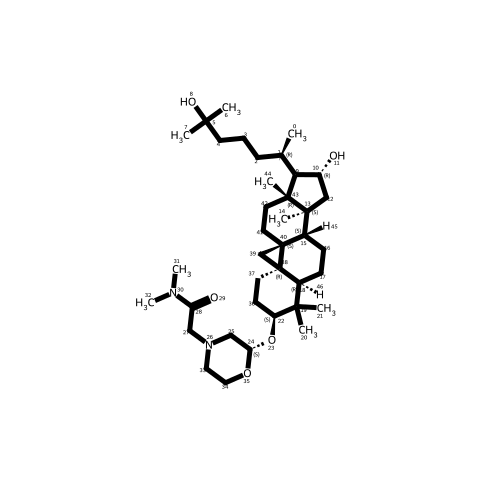 C[C@H](CCCC(C)(C)O)C1[C@H](O)C[C@@]2(C)[C@@H]3CC[C@H]4C(C)(C)[C@@H](O[C@H]5CN(CC(=O)N(C)C)CCO5)CC[C@@]45C[C@@]35CC[C@]12C